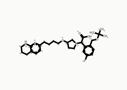 CC(C)(C)OCc1ccc(F)cc1C(C(=O)O)N1CCC(OCCCCc2ccc3c(n2)NCCC3)C1